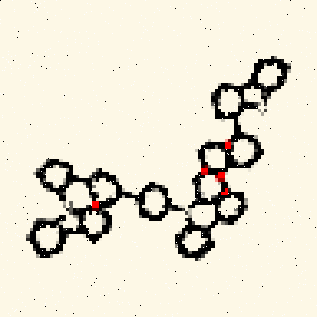 c1ccc(-c2cccc(-c3ccccc3N(c3ccc(-c4ccc(-c5ccccc5-n5c6ccccc6c6ccccc65)cc4)cc3)c3ccc(-c4cccc(-c5cccc6c5oc5ccccc56)c4)cc3)c2)cc1